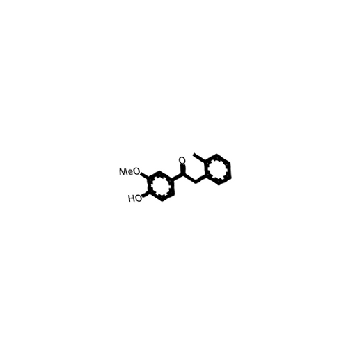 COc1cc(C(=O)Cc2ccccc2C)ccc1O